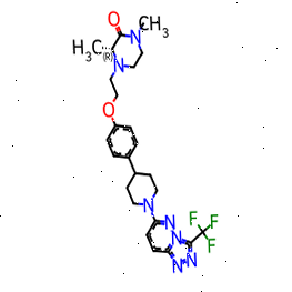 C[C@@H]1C(=O)N(C)CCN1CCOc1ccc(C2CCN(c3ccc4nnc(C(F)(F)F)n4n3)CC2)cc1